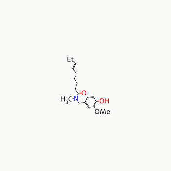 CC/C=C/CCCCC(=O)N(C)Cc1ccc(O)c(OC)c1